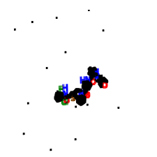 Cc1cnc(N2CC3(CCOCC3)C2)c(C(=O)Nc2ccc(C(=O)N3CCc4cc(C(=O)Nc5c(F)cccc5Cl)sc4-c4ccccc43)cc2)c1